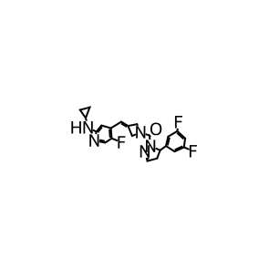 O=C(N1CC(=Cc2cc(NC3CC3)ncc2F)C1)N1N=CCC1c1cc(F)cc(F)c1